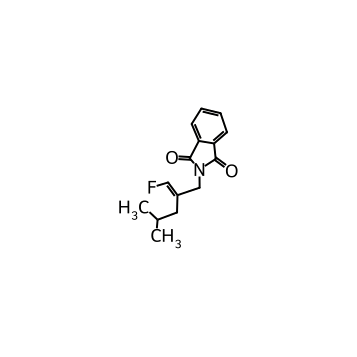 CC(C)CC(=CF)CN1C(=O)c2ccccc2C1=O